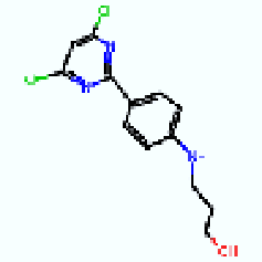 OCCCNc1ccc(-c2nc(Cl)cc(Cl)n2)cc1